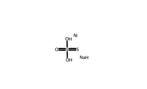 O=S(O)(O)=S.[NaH].[Ni]